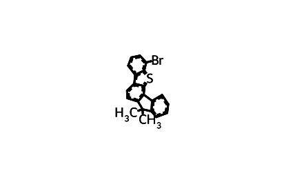 CC1(C)c2ccccc2-c2c1ccc1c2sc2c(Br)cccc21